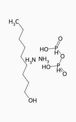 CCCCCCCCCO.N.N.O=[PH](O)O[PH](=O)O